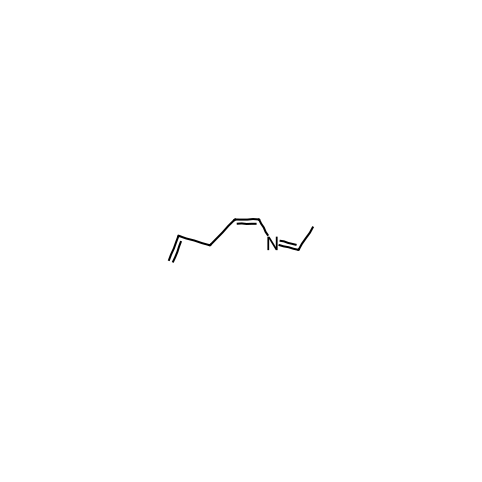 C=CC/C=C\N=C/C